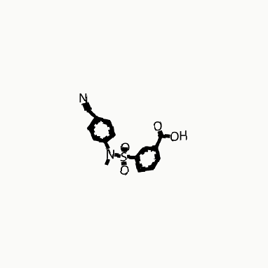 CN(c1ccc(C#N)cc1)S(=O)(=O)c1cccc(C(=O)O)c1